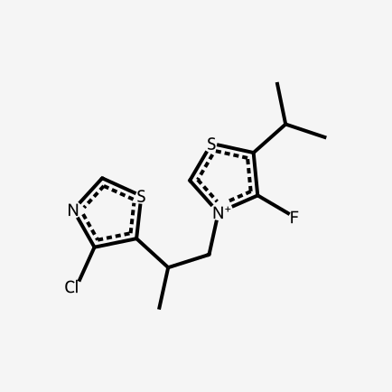 CC(C)c1sc[n+](CC(C)c2scnc2Cl)c1F